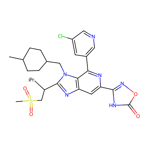 CC1CCC(Cn2c(C(CS(C)(=O)=O)C(C)C)nc3cc(-c4noc(=O)[nH]4)nc(-c4cncc(Cl)c4)c32)CC1